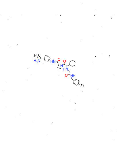 C=C(N)c1ccc(CNC(=O)[C@@H]2CCN2C(=O)[C@H](NCC(=O)NCc2ccc(CC)cc2)C2CCCCC2)cc1